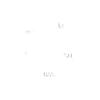 CCC(C)C(N)C(=O)NC